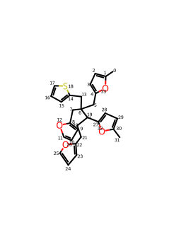 Cc1ccc(CC(Cc2ccco2)(Cc2cccs2)[C](CCc2ccco2)c2ccc(C)o2)o1